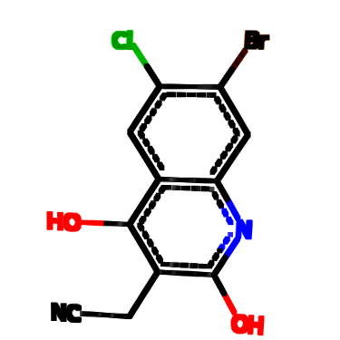 N#CCc1c(O)nc2cc(Br)c(Cl)cc2c1O